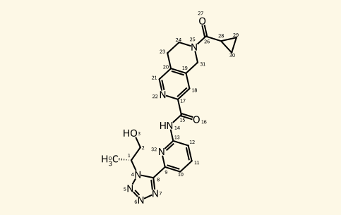 C[C@H](CO)n1nnnc1-c1cccc(NC(=O)c2cc3c(cn2)CCN(C(=O)C2CC2)C3)n1